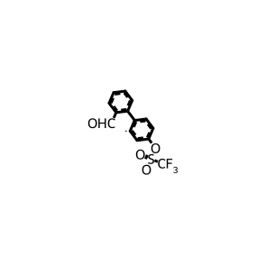 O=Cc1ccccc1-c1[c]cc(OS(=O)(=O)C(F)(F)F)cc1